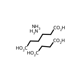 N.N.O=C(O)CCC(=O)O.O=C(O)CCCCC(=O)O